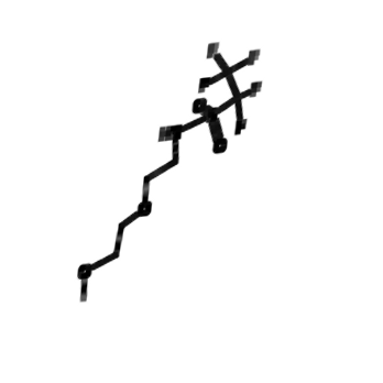 COCCOCCNS(=O)(=O)C(F)(F)C(F)(F)F